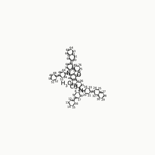 CC1(C)c2cc(N(c3ccc(-c4ccccc4)cc3)c3ccc(-c4ccc5ccccc5c4)cc3)ccc2-c2c1cc(N(c1ccc(-c3ccccc3)cc1)c1ccc(-c3ccc4ccccc4c3)cc1)c1c2oc2ccccc21